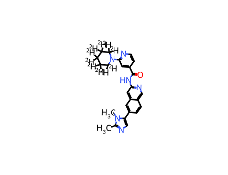 [2H]C1([2H])N(c2cc(C(=O)Nc3cc4cc(-c5cnc(C)n5C)ccc4cn3)ccn2)C([2H])([2H])C([2H])([2H])C([2H])([2H])C1([2H])[2H]